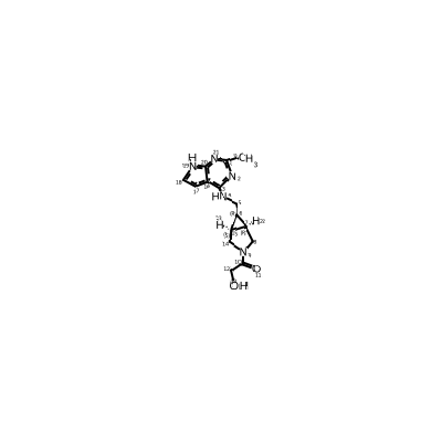 Cc1nc(NC[C@H]2[C@H]3CN(C(=O)CO)C[C@@H]23)c2cc[nH]c2n1